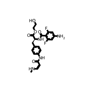 CN/C=C\C(=O)Nc1ccc(C[C@H](NC(=O)c2c(F)cc(N)cc2F)C(=O)OCCO)cc1